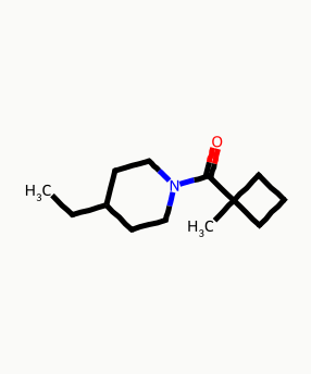 CCC1CCN(C(=O)C2(C)CCC2)CC1